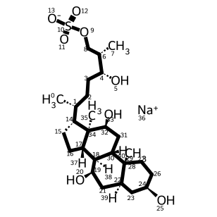 C[C@H](CC[C@@H](O)[C@@H](C)COS(=O)(=O)[O-])[C@H]1CC[C@H]2[C@@H]3[C@H](O)C[C@@H]4C[C@H](O)CC[C@]4(C)[C@H]3C[C@H](O)[C@]12C.[Na+]